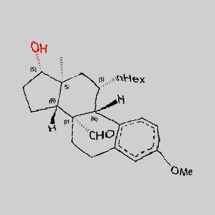 CCCCCC[C@H]1C[C@@]2(C)[C@@H](CC[C@@H]2O)[C@]2(C=O)CCc3cc(OC)ccc3[C@@H]12